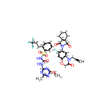 C#CCN1C(=O)COc2cc(F)c(N3C(=O)C4=C(CCCC4)C3=O)cc21.COc1nc(C)nc(NC(=O)NS(=O)(=O)c2ccccc2CCC(F)(F)F)n1